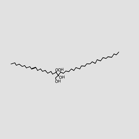 CCCCCCCCC=CCCCCCCCC(=O)C(O)(CO)C(O)CCCCCCCCCCCCCCCCCCCCCC